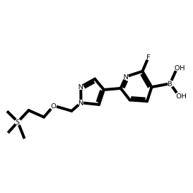 CS(C)(C)CCOCn1cc(-c2ccc(B(O)O)c(F)n2)cn1